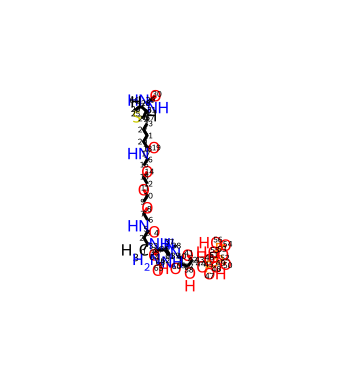 C[C@@H](CC(=O)NCCOCCOCCOCCNC(=O)CCCC[C@@H]1SC[C@H]2NC(=O)N[C@@H]12)NC(=O)c1ncn([C@@H]2O[C@H](COP(=O)(O)OP(=O)(O)OP(=O)(O)O)C(O)[C@@H]2O)c1NC(N)=O